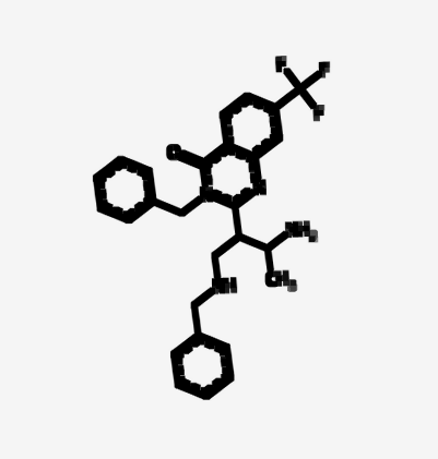 CC(N)C(CNCc1ccccc1)c1nc2cc(C(F)(F)F)ccc2c(=O)n1Cc1ccccc1